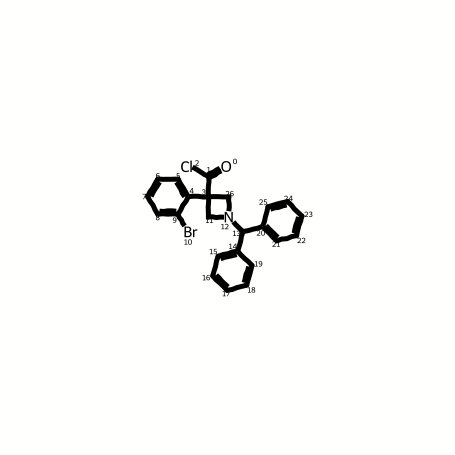 O=C(Cl)C1(c2ccccc2Br)CN(C(c2ccccc2)c2ccccc2)C1